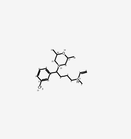 C=C[SiH](C)CCCC(c1cccc(C(F)(F)F)c1)N1CC(C)OC(C)C1